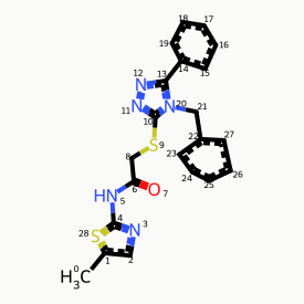 Cc1cnc(NC(=O)CSc2nnc(-c3ccccc3)n2Cc2ccccc2)s1